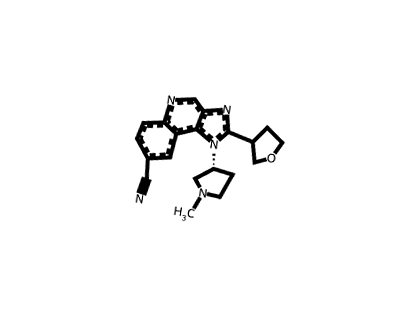 CN1CC[C@@H](n2c(C3CCOC3)nc3cnc4ccc(C#N)cc4c32)C1